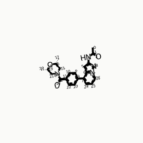 CC(=O)Nc1cc2c(-c3ccc(C(=O)N4C[C@@H](C)O[C@@H](C)C4)cc3)cccn2n1